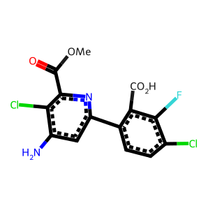 COC(=O)c1nc(-c2ccc(Cl)c(F)c2C(=O)O)cc(N)c1Cl